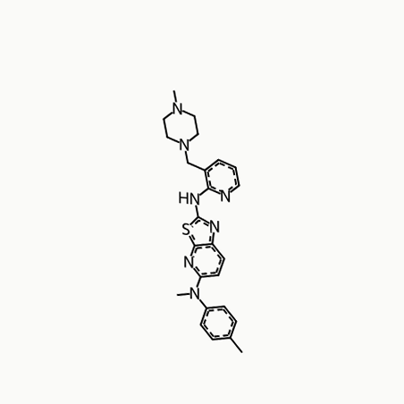 Cc1ccc(N(C)c2ccc3nc(Nc4ncccc4CN4CCN(C)CC4)sc3n2)cc1